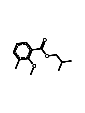 COc1c(C)cccc1C(=O)OCC(C)C